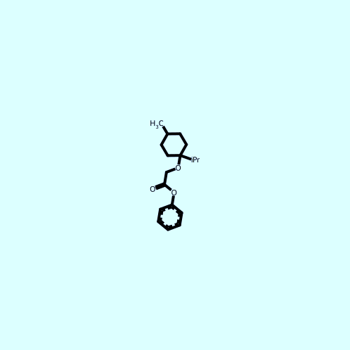 CC1CCC(OCC(=O)Oc2ccccc2)(C(C)C)CC1